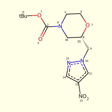 CC(C)(C)OC(=O)N1CCO[C@H](Cn2cc([N+](=O)[O-])cn2)C1